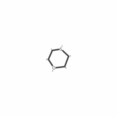 [CH]1CSCCO1